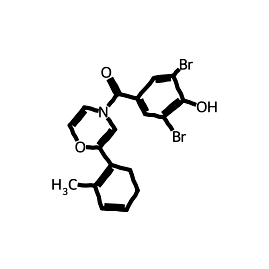 CC1=C(C2=CN(C(=O)c3cc(Br)c(O)c(Br)c3)C=CO2)CCC=C1